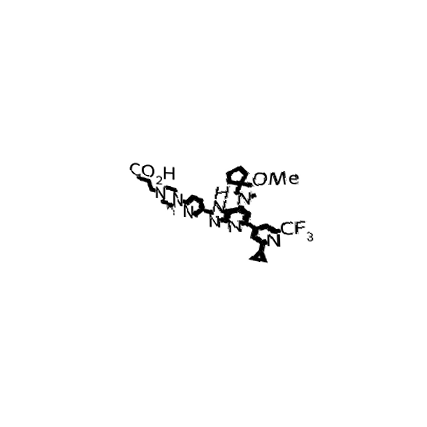 COCC1(CN(C)c2cc(-c3cc(C4CC4)nc(C(F)(F)F)c3)nc3nc(-c4ccc(N5CCN(CCCC(=O)O)C[C@H]5C)nc4)[nH]c23)CCCC1